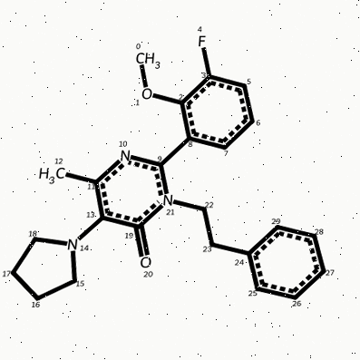 COc1c(F)cccc1-c1nc(C)c(N2CCCC2)c(=O)n1CCc1ccccc1